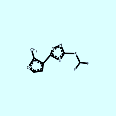 Cc1occc1-c1nnc(SC(F)F)s1